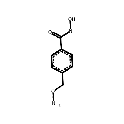 NOCc1ccc(C(=O)NO)cc1